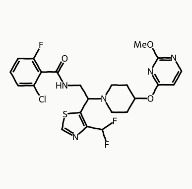 COc1nccc(OC2CCN(C(CNC(=O)c3c(F)cccc3Cl)c3scnc3C(F)F)CC2)n1